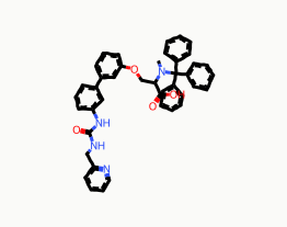 CN(C(COc1cccc(-c2cccc(NC(=O)NCc3ccccn3)c2)c1)C(=O)O)C(c1ccccc1)(c1ccccc1)c1ccccc1